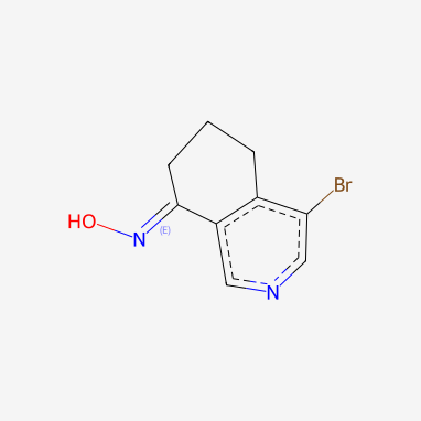 O/N=C1\CCCc2c(Br)cncc21